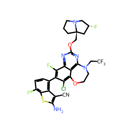 N#Cc1c(N)sc2c(F)ccc(-c3c(Cl)c4c5c(nc(OC[C@@]67CCCN6C[C@H](F)C7)nc5c3F)N(CC(F)(F)F)CCO4)c12